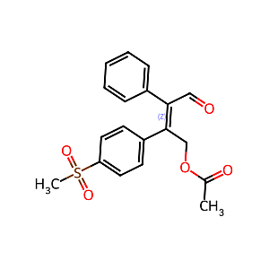 CC(=O)OC/C(=C(\C=O)c1ccccc1)c1ccc(S(C)(=O)=O)cc1